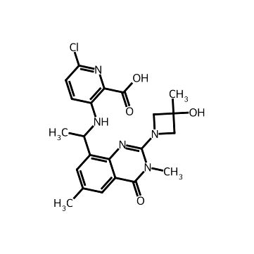 Cc1cc(C(C)Nc2ccc(Cl)nc2C(=O)O)c2nc(N3CC(C)(O)C3)n(C)c(=O)c2c1